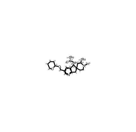 [2H]N1CCC2(Cc3ncc(COC4CCCCO4)cc3[C@H]2N[S@+]([O-])C(C)(C)C)CC1C(C)(C)C